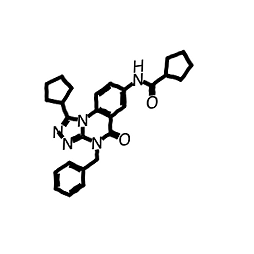 O=C(Nc1ccc2c(c1)c(=O)n(Cc1ccccc1)c1nnc(C3CCCC3)n21)C1CCCC1